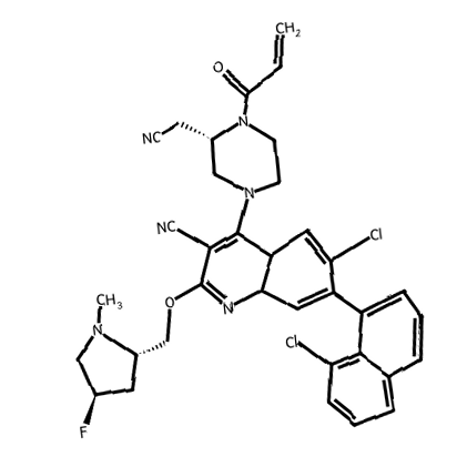 C=CC(=O)N1CCN(C2=C(C#N)C(OC[C@@H]3C[C@@H](F)CN3C)=NC3C=C(c4cccc5cccc(Cl)c45)C(Cl)=CC23)C[C@@H]1CC#N